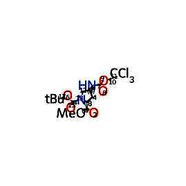 COC(=O)[C@@H]1C[C@@H](NC(=O)OCC(Cl)(Cl)Cl)CN1C(=O)OC(C)(C)C